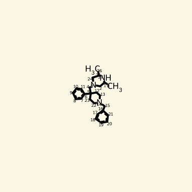 CC1CN(CC2(c3ccccc3)CCN(Cc3ccccc3)CC2)CC(C)N1